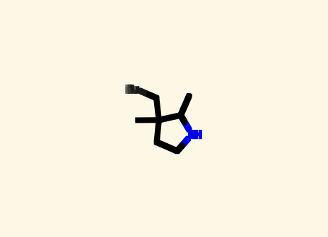 CCC(C)CC1(C)CCNC1C